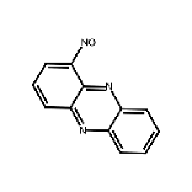 O=Nc1cccc2nc3ccccc3nc12